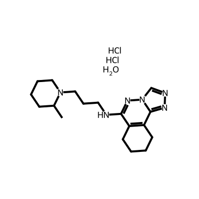 CC1CCCCN1CCCNc1nn2cnnc2c2c1CCCC2.Cl.Cl.O